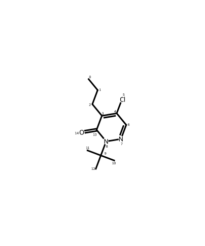 CCCc1c(Cl)cnn(C(C)(C)C)c1=O